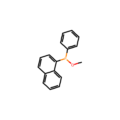 COP(c1ccccc1)c1cccc2ccccc12